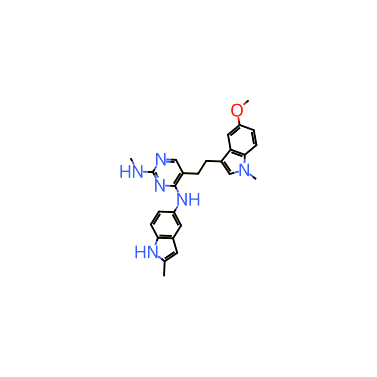 CNc1ncc(CCc2cn(C)c3ccc(OC)cc23)c(Nc2ccc3[nH]c(C)cc3c2)n1